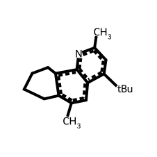 Cc1cc(C(C)(C)C)c2cc(C)c3c(c2n1)CCCC3